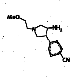 COCCN1CC(c2ccc(C#N)cc2)[C@H](N)C1